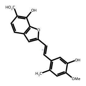 COc1cc(C)c(/C=C/c2cc3ccc(C(=O)O)c(O)c3o2)cc1O